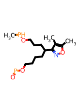 CPOCCCC(CCCCOP=O)c1noc(C)c1C